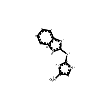 O=[N+]([O-])c1cnc(Sc2nc3ccccc3s2)s1